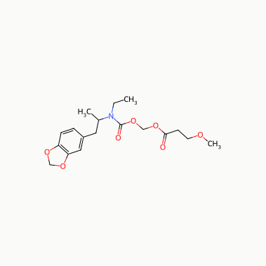 CCN(C(=O)OCOC(=O)CCOC)C(C)Cc1ccc2c(c1)OCO2